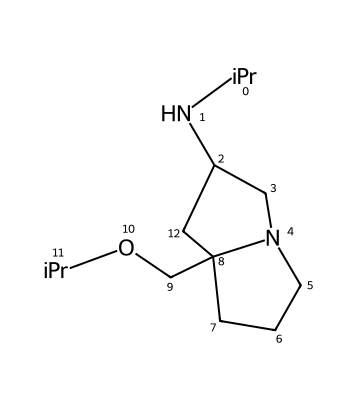 CC(C)NC1CN2CCCC2(COC(C)C)C1